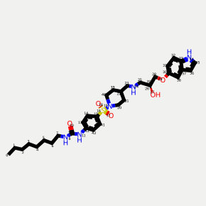 CCCCCCCCNC(=O)Nc1ccc(S(=O)(=O)N2CCC(CNC[C@H](O)COc3ccc4[nH]ccc4c3)CC2)cc1